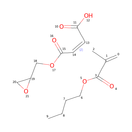 C=C(C)C(=O)OCCCC.O=C(O)/C=C\C(=O)OCC1CO1